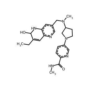 CCC1=Cc2ncc(CN(C)C3CCN(c4ccc(C(=O)NC)nc4)C3)cc2NC1O